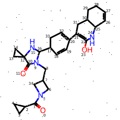 O=C(C1CC1)N1CC(CN2C(=O)C3(CC3)NC2C2C=CC(C3=C(O)NC4C=CCCC4C3)=CC2)C1